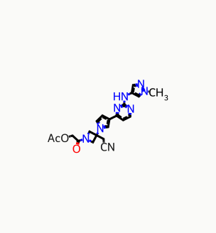 CC(=O)OCC(=O)N1CC(CC#N)(n2ccc(-c3ccnc(Nc4cnn(C)c4)n3)c2)C1